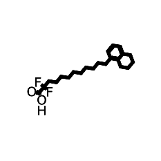 O=C(O)C(F)(F)CCCCCCCCCCc1cccc2c1CCCC2